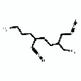 CCCCC(CCC(CC)CN=C=O)N=C=O